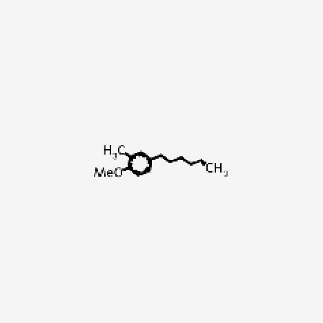 C=CCCCCc1ccc(OC)c(C)c1